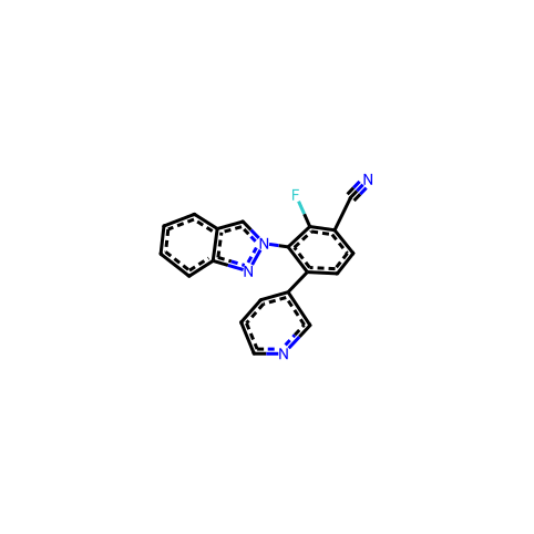 N#Cc1ccc(-c2cccnc2)c(-n2cc3ccccc3n2)c1F